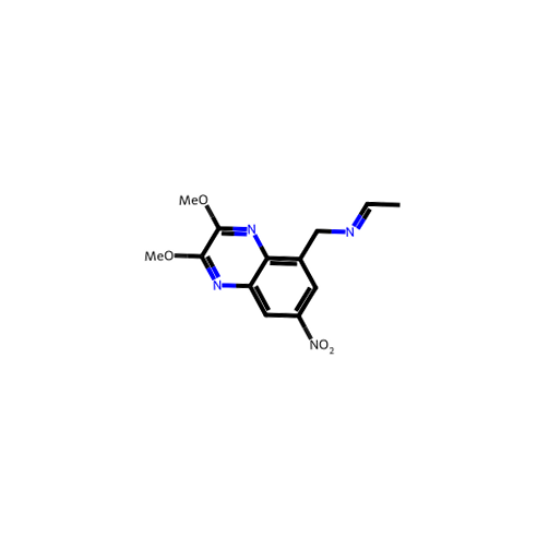 CC=NCc1cc([N+](=O)[O-])cc2nc(OC)c(OC)nc12